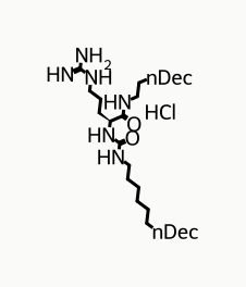 CCCCCCCCCCCCCCCCNC(=O)N[C@@H](CCCNC(=N)N)C(=O)NCCCCCCCCCCCC.Cl